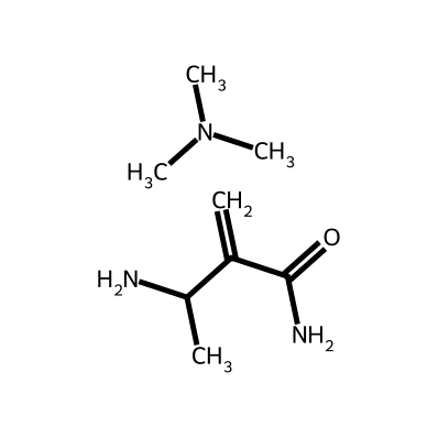 C=C(C(N)=O)C(C)N.CN(C)C